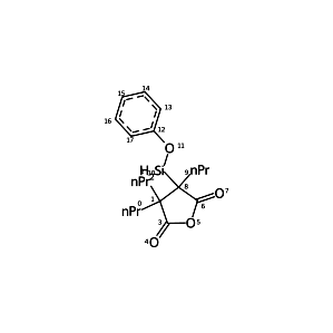 CCCC1(CCC)C(=O)OC(=O)C1(CCC)[SiH2]Oc1ccccc1